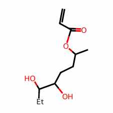 C=CC(=O)OC(C)CCC(O)C(O)CC